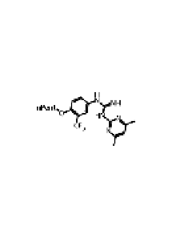 CCCCCOc1ccc(NC(=N)Nc2nc(C)cc(C)n2)cc1C(F)(F)F